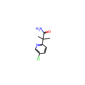 CC(C)(C(N)=O)c1ccc(Cl)cn1